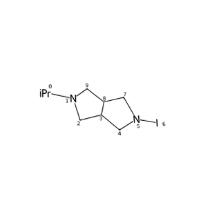 CC(C)N1CC2CN(I)CC2C1